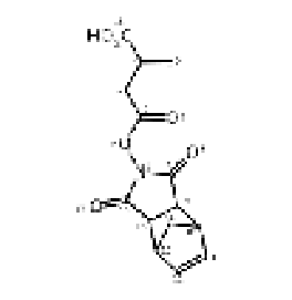 C=C(CC(=O)ON1C(=O)C2C3C=CC(C3)C2C1=O)C(=O)O